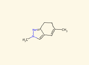 CC1=Cc2cn(C)nc2CC1